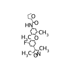 Cc1cc(NC(=O)C2CCCO2)cc(C)c1Oc1cc(F)cc(-c2c(C)noc2C)c1